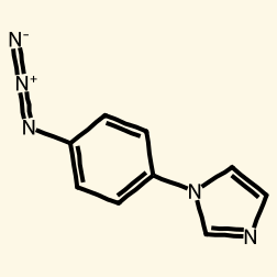 [N-]=[N+]=Nc1ccc(-n2ccnc2)cc1